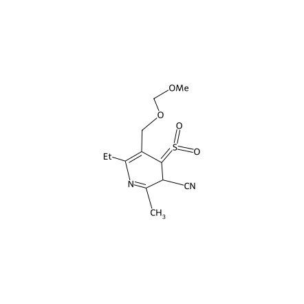 CCC1=C(COCOC)C(=S(=O)=O)C(C#N)C(C)=N1